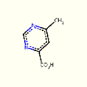 Cc1cc(C(=O)O)ncn1